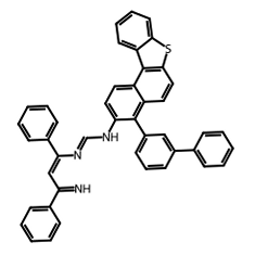 N=C(/C=C(\N=C\Nc1ccc2c(ccc3sc4ccccc4c32)c1-c1cccc(-c2ccccc2)c1)c1ccccc1)c1ccccc1